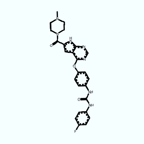 CN1CCN(C(=O)c2cc3c(Oc4ccc(NC(=O)Nc5ccc(F)cc5)cc4)ncnc3[nH]2)CC1